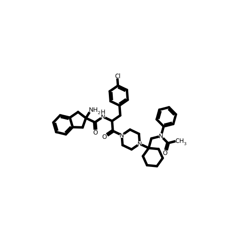 CC(=O)N(CC1(N2CCN(C(=O)C(Cc3ccc(Cl)cc3)NC(=O)C3(N)Cc4ccccc4C3)CC2)CCCCC1)c1ccccc1